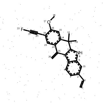 C=Cc1ccc2c3c([nH]c2c1)C(C)(C)c1cc(OC)c(C#CF)cc1C3=C